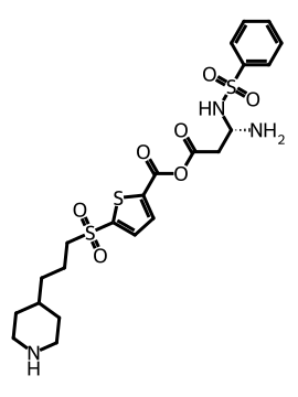 N[C@H](CC(=O)OC(=O)c1ccc(S(=O)(=O)CCCC2CCNCC2)s1)NS(=O)(=O)c1ccccc1